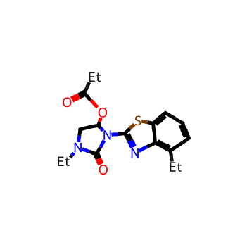 CCC(=O)OC1CN(CC)C(=O)N1c1nc2c(CC)cccc2s1